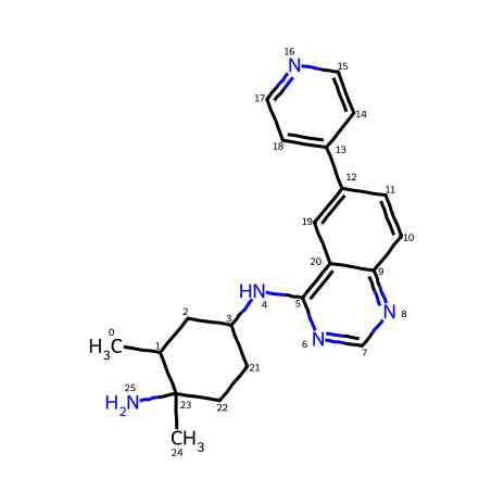 CC1CC(Nc2ncnc3ccc(-c4ccncc4)cc23)CCC1(C)N